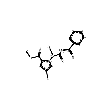 COC(=O)c1cc(Br)cn1N(S)C(=O)NC(=O)c1ccccc1